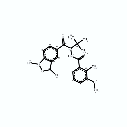 COc1cccc(C(=O)NN(C(=O)c2ccc3c(c2)C(O)OB3O)C(C)(C)C)c1C